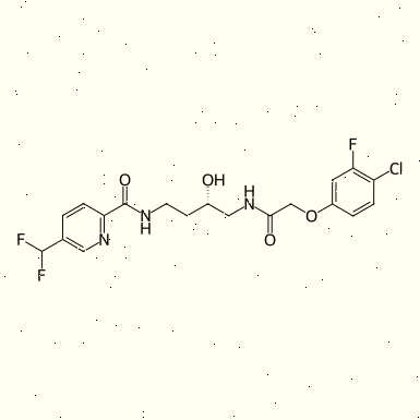 O=C(COc1ccc(Cl)c(F)c1)NC[C@@H](O)CCNC(=O)c1ccc(C(F)F)cn1